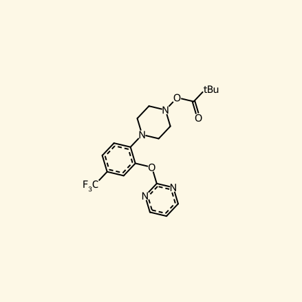 CC(C)(C)C(=O)ON1CCN(c2ccc(C(F)(F)F)cc2Oc2ncccn2)CC1